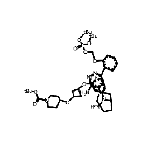 CC(C)(C)OC(=O)N1CCC(OC2CC(Oc3cc(N4C5CC[C@@H]4CN(c4cc(-c6ccccc6OCOP(=O)(OC(C)(C)C)OC(C)(C)C)nnc4N)C5)ccn3)C2)CC1